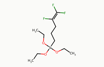 CCO[Si](CCCC(F)=C(F)F)(OCC)OCC